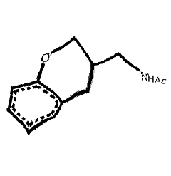 CC(=O)NCC1COc2ccccc2C1